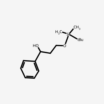 CC(C)(C)[Si](C)(C)OCCC(O)c1ccccc1